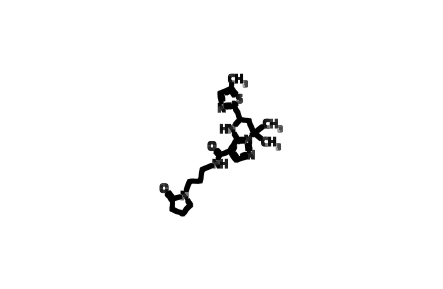 Cc1cnc(C2CC(C)(C)n3ncc(C(=O)NCCCN4CCCC4=O)c3N2)s1